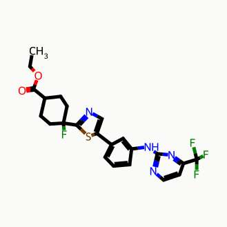 CCOC(=O)C1CCC(F)(c2ncc(-c3cccc(Nc4nccc(C(F)(F)F)n4)c3)s2)CC1